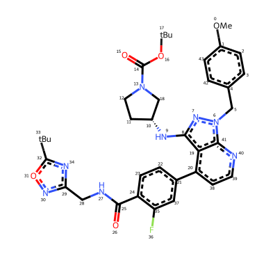 COc1ccc(Cn2nc(N[C@@H]3CCN(C(=O)OC(C)(C)C)C3)c3c(-c4ccc(C(=O)NCc5noc(C(C)(C)C)n5)c(F)c4)ccnc32)cc1